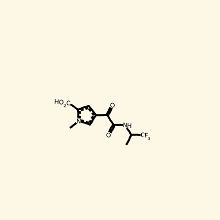 CC(NC(=O)C(=O)c1cc(C(=O)O)n(C)c1)C(F)(F)F